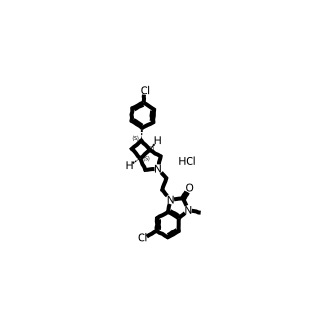 Cl.Cn1c(=O)n(CCN2C[C@H]3C[C@H](c4ccc(Cl)cc4)[C@H]3C2)c2cc(Cl)ccc21